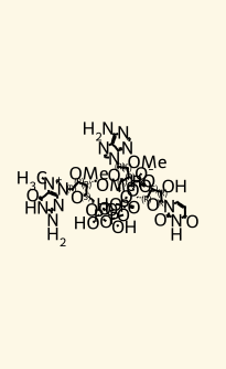 COC[C@H]1[C@@H](OC)[C@H](n2c[n+](C)c3c(=O)[nH]c(N)nc32)O[C@@H]1COP(=O)(O)OP(=O)(O)OP(=O)(O)OC[C@H]1O[C@@H](n2cnc3c(N)ncnc32)[C@H](OC)[C@@H]1P(=O)([O-])OC[C@H]1O[C@@H](n2ccc(=O)[nH]c2=O)[C@H](O)[C@@H]1O